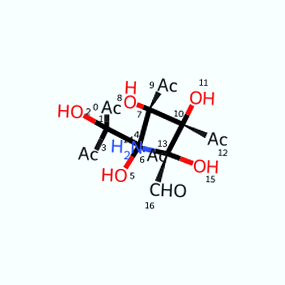 CC(=O)C(O)(C(C)=O)[C@](O)(C(C)=O)[C@@](O)(C(C)=O)[C@@](O)(C(C)=O)[C@@](N)(O)C=O